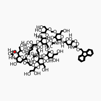 CCCCOC(=O)[C@@]1(OCCO[C@@H](O[C@@H]2C(CO)O[C@@H](OC3C(O)[C@H](O)C(CO)O[C@@H]3OCC3O[C@@H](O[C@@H](C(C)O)C(CO)OCO[C@@H]4C(CO)O[C@@H](NC(=O)CC(NC(=O)OCC5c6ccccc6-c6ccccc65)C(=O)O)C(NC(C)=O)C4O)C(O)C(O[C@@H](OCCO)C(CO)OC)[C@@H]3O)C(NC(C)=O)C2O)C(O)CO)CC(O)[C@@H](NC(C)=O)C([C@H](O)C(O)CO)O1